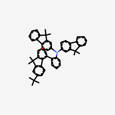 CC(C)(C)c1ccc2c(c1)C(C)(C)c1cccc(-c3ccccc3N(c3ccc4c(c3)C(C)(C)c3ccccc3-4)c3ccc4c(c3)C(C)(C)c3ccccc3-4)c1-2